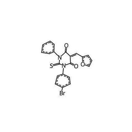 O=C1/C(=C/c2ccco2)C(=O)N(c2ccc(Br)cc2)C(=S)N1c1ccccc1